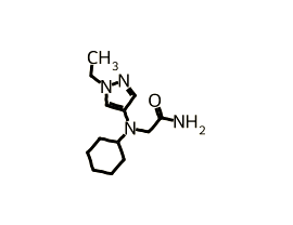 CCn1cc(N(CC(N)=O)C2CCCCC2)cn1